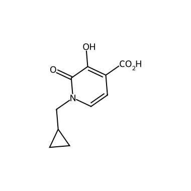 O=C(O)c1ccn(CC2CC2)c(=O)c1O